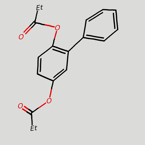 CCC(=O)Oc1ccc(OC(=O)CC)c(-c2ccccc2)c1